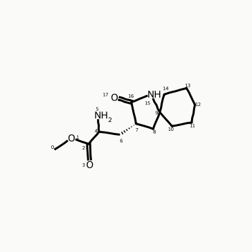 COC(=O)C(N)C[C@H]1CC2(CCCCC2)NC1=O